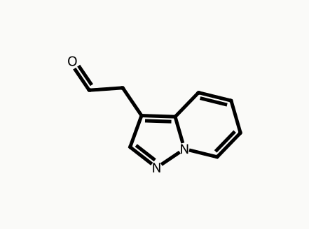 O=CCc1cnn2ccccc12